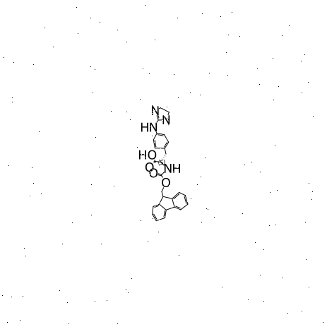 CN1CCN=C1Nc1ccc(C[C@H](NC(=O)OCC2c3ccccc3-c3ccccc32)C(=O)O)cc1